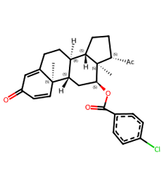 CC(=O)[C@H]1CC[C@H]2[C@@H]3CCC4=CC(=O)C=C[C@]4(C)[C@H]3C[C@H](OC(=O)c3ccc(Cl)cc3)[C@]12C